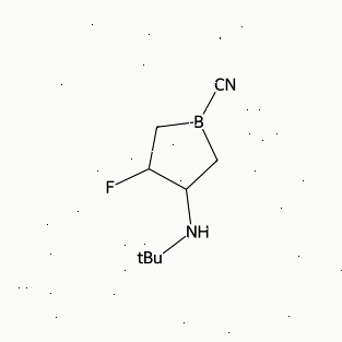 CC(C)(C)NC1CB(C#N)CC1F